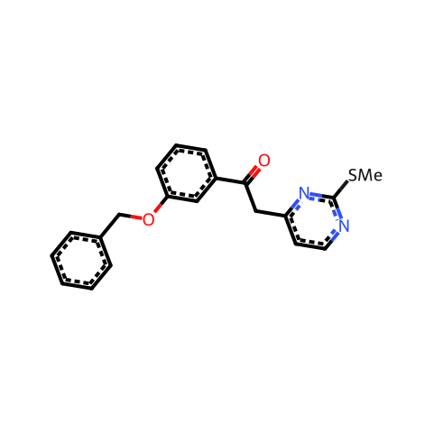 CSc1nccc(CC(=O)c2cccc(OCc3ccccc3)c2)n1